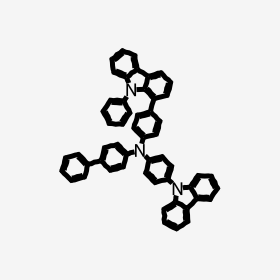 c1ccc(-c2ccc(N(c3ccc(-c4cccc5c6ccccc6n(-c6ccccc6)c45)cc3)c3ccc(-n4c5ccccc5c5ccccc54)cc3)cc2)cc1